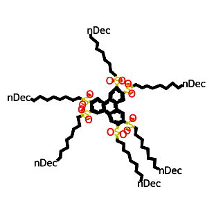 CCCCCCCCCCCCCCCCCCS(=O)(=O)c1cc2c3cc(S(=O)(=O)CCCCCCCCCCCCCCCCCC)c(S(=O)(=O)CCCCCCCCCCCCCCCCCC)cc3c3cc(S(=O)(=O)CCCCCCCCCCCCCCCCCC)c(S(=O)(=O)CCCCCCCCCCCCCCCCCC)cc3c2cc1S(=O)(=O)CCCCCCCCCCCCCCCCCC